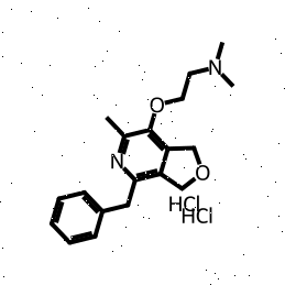 Cc1nc(Cc2ccccc2)c2c(c1OCCN(C)C)COC2.Cl.Cl